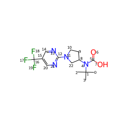 CC(C)(C)N(C(=O)O)C1CCN(c2ncc(C(F)(F)F)cn2)C1